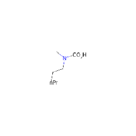 CCCCCN(C)C(=O)O